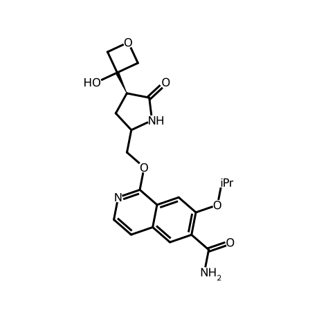 CC(C)Oc1cc2c(OCC3C[C@@H](C4(O)COC4)C(=O)N3)nccc2cc1C(N)=O